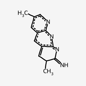 Cc1cnc2nc3c(cc2c1)=CC(C)C(=N)N=3